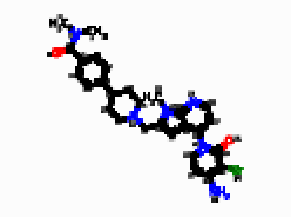 CN(C)C(=O)c1ccc(C2CCN(Cc3cc4c(-n5ccc(N)c(Br)c5=O)ccnc4n3C)CC2)cc1